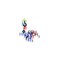 Cc1nc(N[C@H]2C[C@@H](COc3ccc(C(F)(F)F)nc3)C2)nc2c1NC(=O)C([C@@H](C)O)N2C